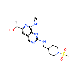 CC(C)Nc1nc([C@@H](C)O)cc2cnc(NCC3CCN(S(C)(=O)=O)CC3)nc12